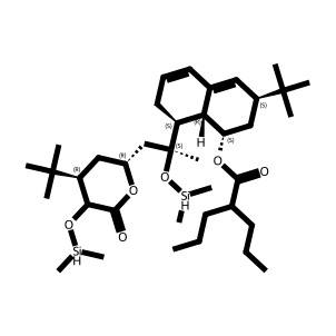 CCCC(CCC)C(=O)O[C@H]1C[C@H](C(C)(C)C)C=C2C=CC[C@H]([C@](C)(C[C@H]3C[C@H](C(C)(C)C)C(O[SiH](C)C)C(=O)O3)O[SiH](C)C)[C@H]21